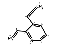 C=Cc1cccnc1C=N